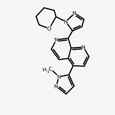 Cn1nccc1-c1ccnc2c(-c3ccnn3C3CCCCO3)nccc12